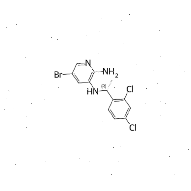 C[C@@H](Nc1cc(Br)cnc1N)c1ccc(Cl)cc1Cl